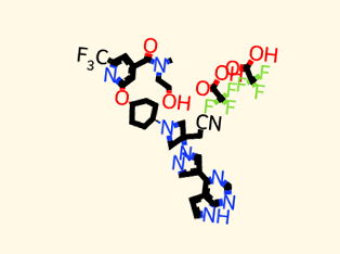 CN(CCO)C(=O)c1cc(O[C@H]2CC[C@@H](N3CC(CC#N)(n4cc(-c5ncnc6[nH]ccc56)cn4)C3)CC2)nc(C(F)(F)F)c1.O=C(O)C(F)(F)F.O=C(O)C(F)(F)F